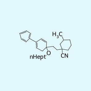 CCCCCCCOC1(CCC2(C#N)CCCC(C)C2)C=CC(c2ccccc2)=CC1